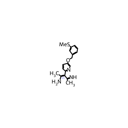 CSc1cccc(COc2ccc(/C(C(C)=N)=C(\C)N)nc2)c1